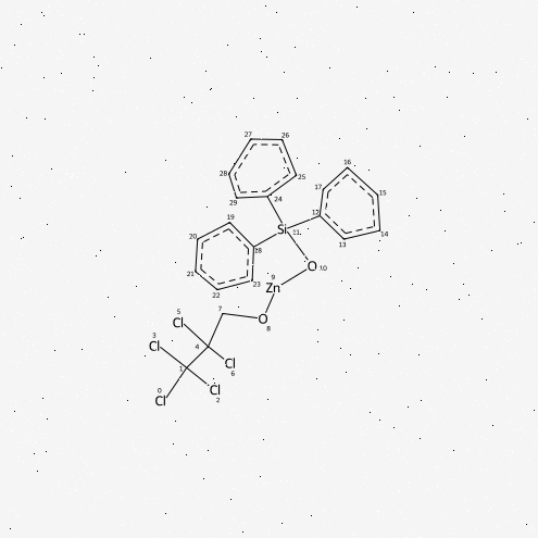 ClC(Cl)(Cl)C(Cl)(Cl)C[O][Zn][O][Si](c1ccccc1)(c1ccccc1)c1ccccc1